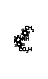 Cc1ccc(Nc2ncnc3c2C=C(C(=O)O)C3)cc1